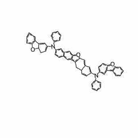 C1=CC2Cc3c(oc4cc5cc(N(C6=CCC7Oc8ccccc8C7=C6)c6ccccc6)ccc5cc34)C=C2C=C1N(c1ccccc1)c1ccc2oc3ccccc3c2c1